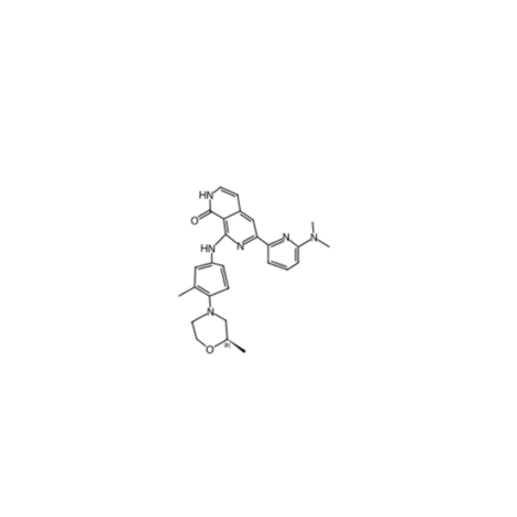 Cc1cc(Nc2nc(-c3cccc(N(C)C)n3)cc3cc[nH]c(=O)c23)ccc1N1CCO[C@H](C)C1